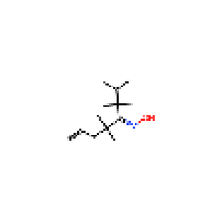 C=CCC(C)(C)C(=NO)C(C)(C)C(C)C